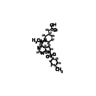 Cc1ccc(S(=O)(=O)n2ccc3c(N(C)N4CCCC(CC(=O)O)C4)ncnc32)cc1